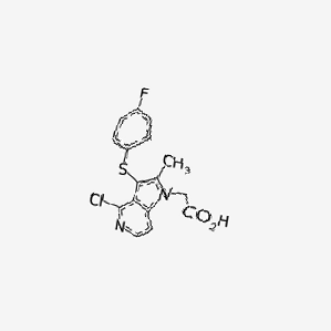 Cc1c(Sc2ccc(F)cc2)c2c(Cl)nccc2n1CC(=O)O